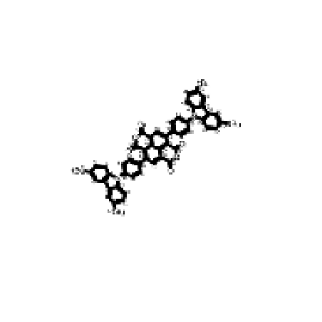 CC(C)(C)c1ccc2c(c1)c1cc(C(C)(C)C)ccc1n2-c1ccc(-c2cc3c4c(c(-c5ccc(-n6c7ccc(C(C)(C)C)cc7c7cc(C(C)(C)C)ccc76)cc5)cc5c4c2C(=O)OC5=O)C(=O)OC3=O)cc1